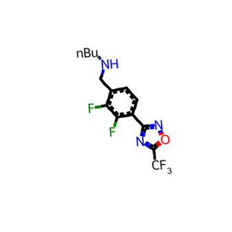 CCCCNCc1ccc(-c2noc(C(F)(F)F)n2)c(F)c1F